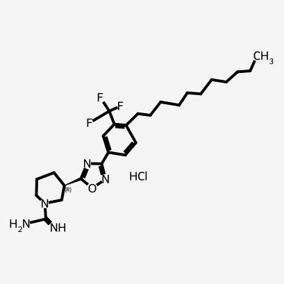 CCCCCCCCCCCc1ccc(-c2noc([C@@H]3CCCN(C(=N)N)C3)n2)cc1C(F)(F)F.Cl